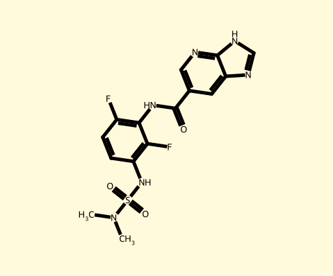 CN(C)S(=O)(=O)Nc1ccc(F)c(NC(=O)c2cnc3[nH]cnc3c2)c1F